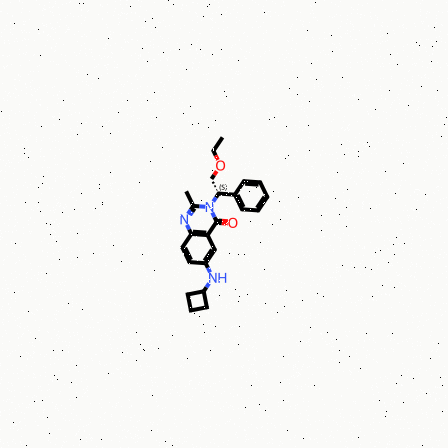 CCOC[C@H](c1ccccc1)n1c(C)nc2ccc(NC3CCC3)cc2c1=O